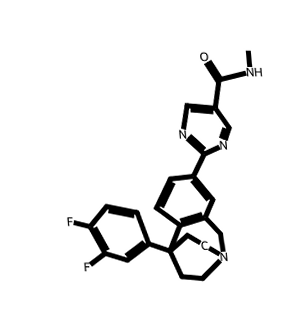 CNC(=O)c1cnc(-c2ccc3c(c2)CN2CCC3(c3ccc(F)c(F)c3)CC2)nc1